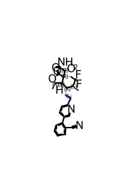 CO[C@@H](C(N)=O)[C@@]12CC(F)(F)[C@@H](C)[C@H](/C=C/c3ccc(-c4ccccc4C#N)cn3)[C@@H]1[C@@H](C)OC2=O